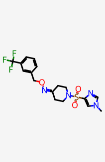 Cn1cnc(S(=O)(=O)N2CCC(=NOCc3cccc(C(F)(F)F)c3)CC2)c1